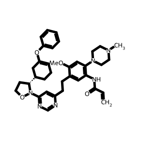 C=CC(=O)Nc1cc(CCc2cc(N3OCC[C@@H]3C3CCC=C(Oc4ccccc4)C3)ncn2)c(OC)cc1N1CCN(C)CC1